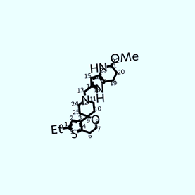 CCc1cc2c(s1)CCOC21CCN(Cc2cc3c([nH]2)CCC(OC)N3)CC1